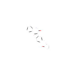 CNC(=O)c1c(-c2ccc(F)cc2)oc2ccc(OC3CCOC3=O)cc12